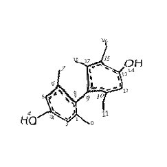 Cc1cc(O)cc(C)c1-c1c(C)cc(O)c(C)c1C